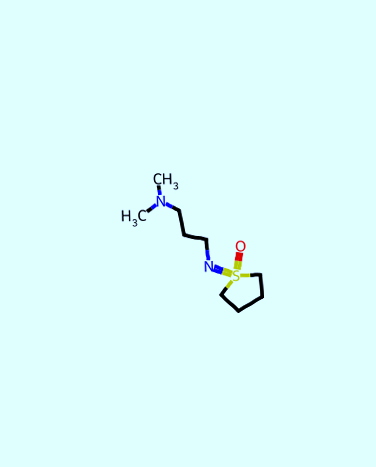 CN(C)CCCN=S1(=O)CCCC1